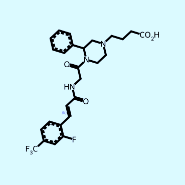 O=C(O)CCCN1CCN(C(=O)CNC(=O)/C=C/c2ccc(C(F)(F)F)cc2F)C(c2ccccc2)C1